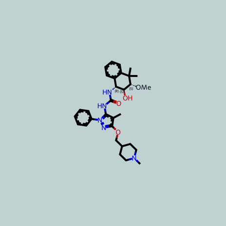 CO[C@@H]1[C@@H](O)[C@H](NC(=O)Nc2c(C)c(OCC3CCN(C)CC3)nn2-c2ccccc2)c2ccccc2C1(C)C